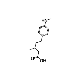 CNc1ccc(CCC(C)CC(=O)O)cc1